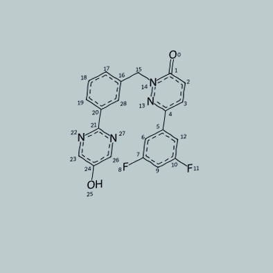 O=c1ccc(-c2cc(F)cc(F)c2)nn1Cc1cccc(-c2ncc(O)cn2)c1